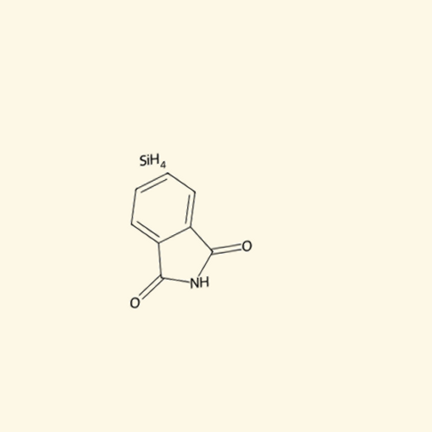 O=C1NC(=O)c2ccccc21.[SiH4]